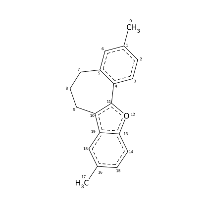 Cc1ccc2c(c1)CCCc1c-2oc2ccc(C)cc12